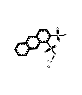 COS(=O)(=O)c1c(S(=O)(=O)[O-])ccc2cc3ccccc3cc12.[Cs+]